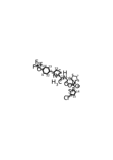 C[C@H](NC(=O)[C@@H]1CCCN1S(=O)(=O)c1ccc(Cl)s1)c1nc(-c2ccc(OC(F)(F)F)cc2)cs1